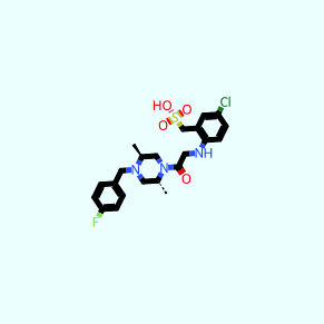 C[C@@H]1CN(Cc2ccc(F)cc2)[C@@H](C)CN1C(=O)CNc1ccc(Cl)cc1CS(=O)(=O)O